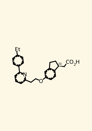 CCc1ccc(-c2cccc(CCOc3ccc4c(c3)CC[C@H]4CC(=O)O)n2)cc1